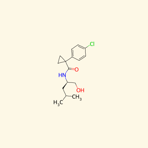 CC(C)C[C@H](CO)NC(=O)C1(c2ccc(Cl)cc2)CC1